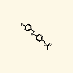 CC(=O)OCc1ccc(NCc2ccc(F)cc2)cn1